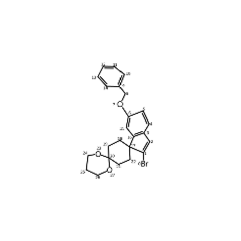 BrC1=Cc2ccc(OCc3ccccc3)cc2C12CCC1(CC2)OCCCO1